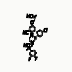 C[C@H](O)COc1ccc(N2CCN(C[C@@](C)(O)c3ccc(F)c(F)c3)C[C@H]2c2ccc(Cl)cc2)c(C#N)c1